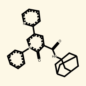 O=C(NC12CC3CC(CC(C3)C1)C2)c1cc(-c2ccccn2)cn(-c2ccccc2)c1=O